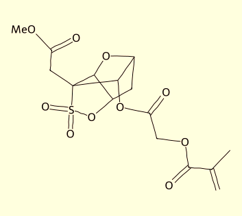 C=C(C)C(=O)OCC(=O)OC1C2CC3OS(=O)(=O)C1(CC(=O)OC)C3O2